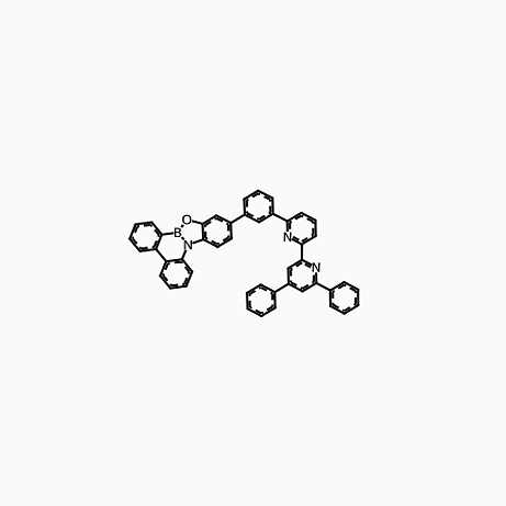 c1ccc(-c2cc(-c3ccccc3)nc(-c3cccc(-c4cccc(-c5ccc6c(c5)OB5c7ccccc7-c7ccccc7N56)c4)n3)c2)cc1